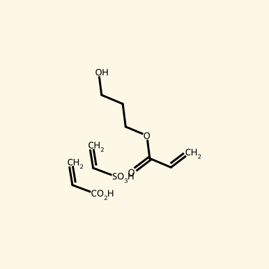 C=CC(=O)O.C=CC(=O)OCCCO.C=CS(=O)(=O)O